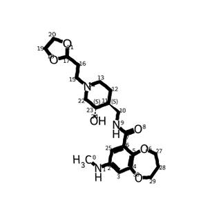 CNc1cc2c(c(C(=O)NC[C@@H]3CCN(CCC4OCCO4)C[C@H]3O)c1)OCCCO2